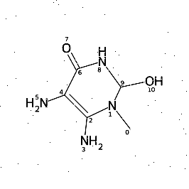 CN1C(N)=C(N)C(=O)NC1O